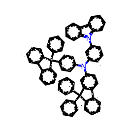 c1ccc(C2(c3ccc(N(c4cccc(-n5c6ccccc6c6ccccc65)c4)c4ccc5c(c4)C(c4ccccc4)(c4ccccc4)c4ccccc4-5)cc3)c3ccccc3-c3ccccc32)cc1